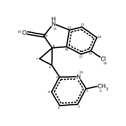 Cc1cccc(C2CC23C(=O)Nc2ccc(Cl)cc23)n1